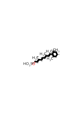 CC1=C(/C=C/C(C)=C/C=C/C(C)=C/COS(=O)(=O)O)C(C)(C)CCC1